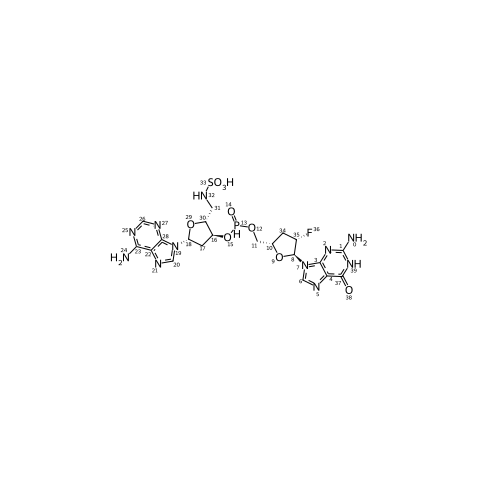 Nc1nc2c(ncn2[C@H]2O[C@H](CO[PH](=O)O[C@H]3C[C@H](n4cnc5c(N)ncnc54)O[C@@H]3CNS(=O)(=O)O)C[C@@H]2F)c(=O)[nH]1